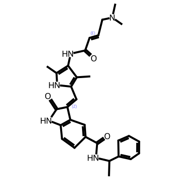 Cc1[nH]c(/C=C2\C(=O)Nc3ccc(C(=O)NC(C)c4ccccc4)cc32)c(C)c1NC(=O)/C=C/CN(C)C